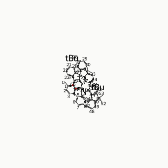 Cc1ccc(-c2ccccc2N(c2ccc3c(c2)C2(c4ccccc4-3)c3cc(C(C)(C)C)ccc3-c3ccc(C(C)(C)C)cc32)c2cccc3c2-c2ccccc2C3(C)C)cc1